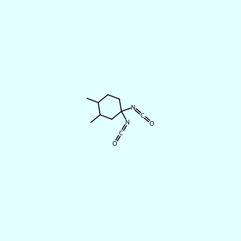 CC1CCC(N=C=O)(N=C=O)CC1C